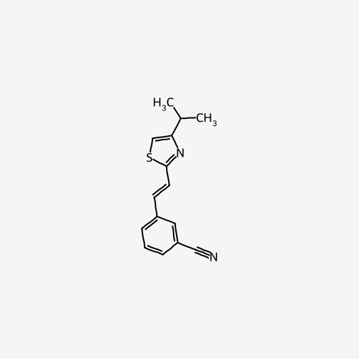 CC(C)c1csc(C=Cc2cccc(C#N)c2)n1